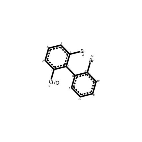 O=Cc1cccc(Br)c1-c1ccccc1Br